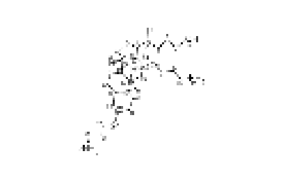 C[C@H](CCCO)C1CC[C@H]2C3CCC4C[C@H](OCCCN)CCC4(C)[C@H]3C[C@H](OCCCN)[C@]12C